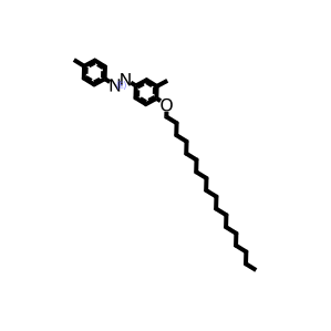 CCCCCCCCCCCCCCCCCCOc1ccc(/N=N/c2ccc(C)cc2)cc1C